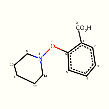 O=C(O)c1ccccc1ON1CCCCC1